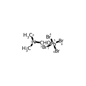 CN(C)C=O.[Br][Pb]([Br])([Br])[Br]